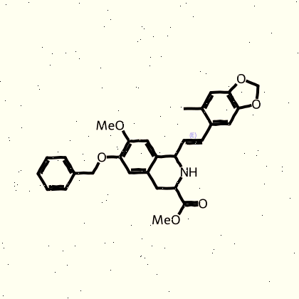 COC(=O)C1Cc2cc(OCc3ccccc3)c(OC)cc2C(/C=C/c2cc3c(cc2C)OCO3)N1